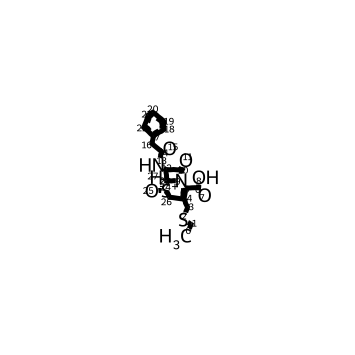 CCSCC1=C(C(=O)O)N2C(=O)C(NC(=O)Cc3ccccc3)[C@@H]2[S+]([O-])C1